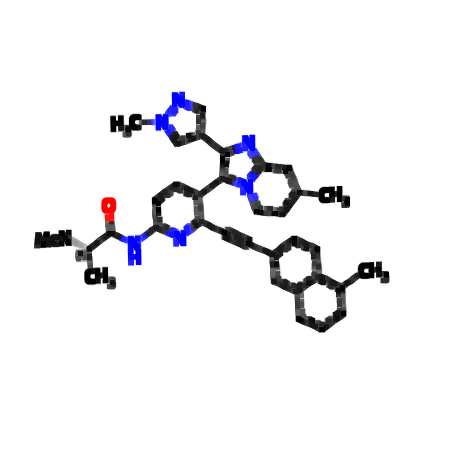 CN[C@@H](C)C(=O)Nc1ccc(-c2c(-c3cnn(C)c3)nc3cc(C)ccn23)c(C#Cc2ccc3c(C)cccc3c2)n1